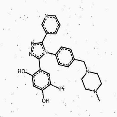 CC(C)c1cc(-c2nnc(-c3cccnc3)n2-c2ccc(CN3CCN(C)CC3)cc2)c(O)cc1O